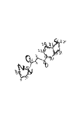 O=C(CCC(=O)c1ncccn1)c1ccc2sccc2c1